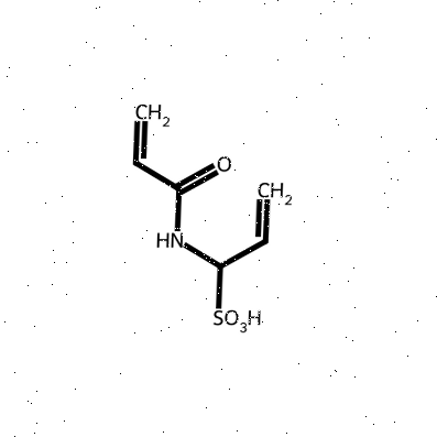 C=CC(=O)NC(C=C)S(=O)(=O)O